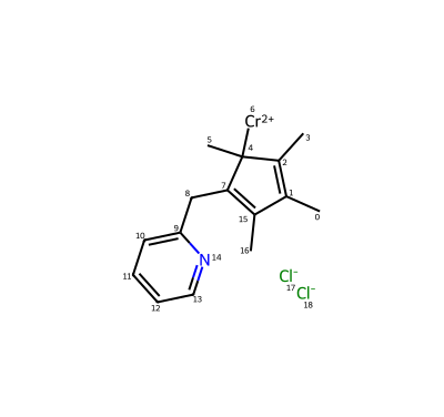 CC1=C(C)[C](C)([Cr+2])C(Cc2ccccn2)=C1C.[Cl-].[Cl-]